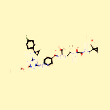 CCOCC1(CNC(=O)C(=O)NCC[C@@H](NC(=O)c2ccc(Nc3nc(NC4(c5ccc(Cl)cc5)CC4)nc(OCC(F)(F)F)n3)cc2)C(=O)OC)CC1